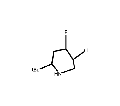 CC(C)(C)C1CC(F)C(Cl)CN1